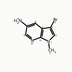 Cn1cc(Br)c2cc(N)cnc21